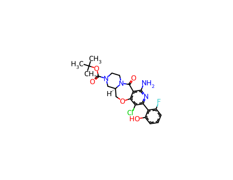 CC(C)(C)OC(=O)N1CCN2C(=O)c3c(N)nc(-c4c(O)cccc4F)c(Cl)c3OC[C@H]2C1